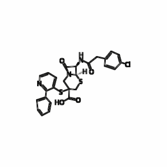 O=C(Cc1ccc(Cl)cc1)N[C@@H]1C(=O)N2CC(Sc3cccnc3-c3ccccc3)(C(=O)O)CS[C@H]12